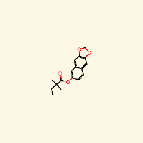 CCC(C)(C)C(=O)Oc1ccc2cc3c(cc2c1)OCO3